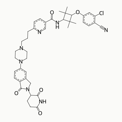 CC1(C)C(NC(=O)c2ccc(CCCN3CCN(c4ccc5c(c4)CN(C4CCC(=O)NC4=O)C5=O)CC3)nc2)C(C)(C)C1Oc1ccc(C#N)c(Cl)c1